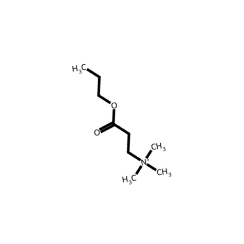 CCCOC(=O)CC[N+](C)(C)C